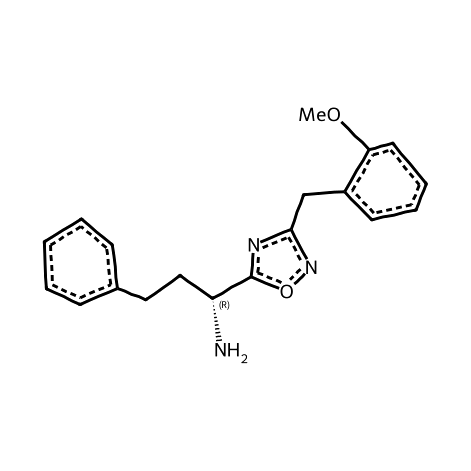 COc1ccccc1Cc1noc([C@H](N)CCc2ccccc2)n1